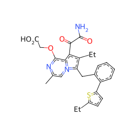 CCc1ccc(-c2ccccc2Cc2c(CC)c(C(=O)C(N)=O)c3c(OCC(=O)O)nc(C)cn23)s1